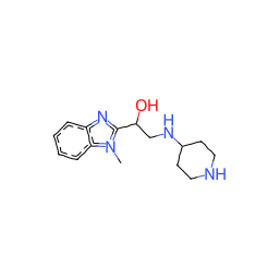 Cn1c(C(O)CNC2CCNCC2)nc2ccccc21